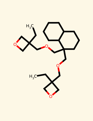 CCC1(COCC2(COCC3(CC)COC3)CCCC3CCCCC32)COC1